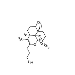 CC1=C(CCCO)O[C@@H]2O[C@]3(C)CC[C@H]4[C@H](C)CC[C@@H]1[C@@]24O3